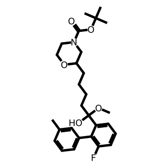 COC(O)(CCCCC1CN(C(=O)OC(C)(C)C)CCO1)c1cccc(F)c1-c1cccc(C)c1